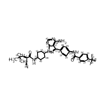 CC(C)(C)C=C(C#N)C(=O)NC1CCC(n2nc(-c3ccc(NC(=O)c4ccc(C(F)(F)F)cc4)cc3)c3c(N)ncnc32)CC1